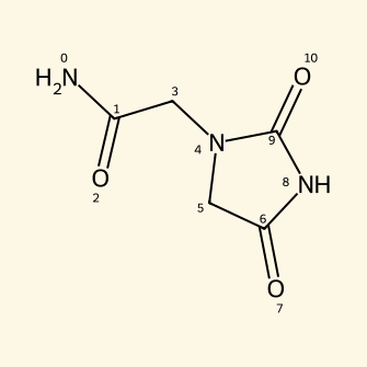 NC(=O)CN1CC(=O)NC1=O